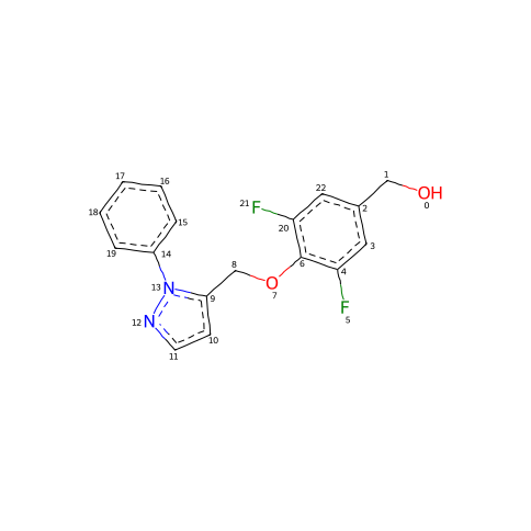 OCc1cc(F)c(OCc2ccnn2-c2ccccc2)c(F)c1